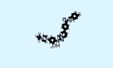 COc1cc(N2CCN(C(C)(C)C)CC2)ccc1Nc1nc2ccc(-c3ccc(C(=O)NCc4ccc(F)cc4)cc3)cn2n1